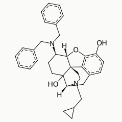 Oc1ccc2c3c1O[C@H]1[C@H](N(Cc4ccccc4)Cc4ccccc4)CCC4(O)[C@@H](C2)N(CC2CC2)CC[C@]314